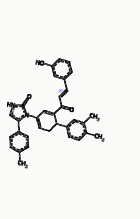 Cc1ccc(-c2c[nH]c(=O)n2C2=CCC(c3ccc(C)c(C)c3)C(C(=O)/C=C/c3cccc(O)c3)=C2)cc1